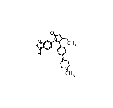 CCC1=CC(=O)N(c2ccc3[nH]cnc3c2)C1c1ccc(N2CCN(C)CC2)cc1